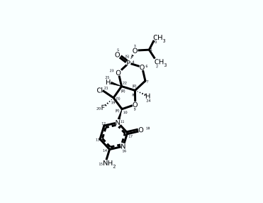 CC(C)O[P@]1(=O)OC[C@H]2O[C@@H](n3ccc(N)nc3=O)[C@@](F)(Cl)[C@@H]2O1